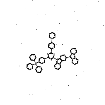 c1ccc(-c2ccc(-c3nc(-c4ccc([Si](c5ccccc5)(c5ccccc5)c5ccccc5)cc4)nc(-n4c5ccccc5c5cc(-n6c7ccccc7c7ccccc76)ccc54)n3)cc2)cc1